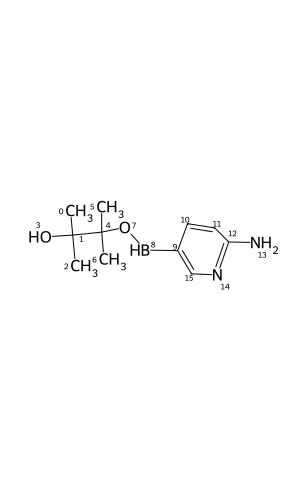 CC(C)(O)C(C)(C)OBc1ccc(N)nc1